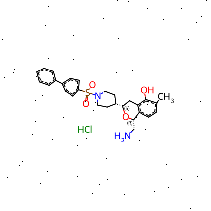 Cc1ccc2c(c1O)C[C@@H](C1CCN(S(=O)(=O)c3ccc(-c4ccccc4)cc3)CC1)O[C@H]2CN.Cl